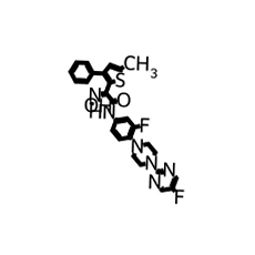 Cc1cc(-c2ccccc2)c(C(=NO)C(=O)Nc2ccc(N3CCN(c4ncc(F)cn4)CC3)c(F)c2)s1